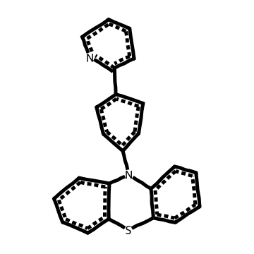 c1ccc(-c2ccc(N3c4ccccc4Sc4ccccc43)cc2)nc1